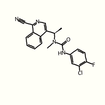 C[C@H](c1cnc(C#N)c2ccccc12)N(C)C(=O)Nc1ccc(F)c(Cl)c1